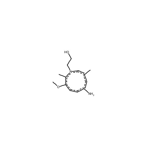 COc1ccc(N)cc(C)cn(CCO)c1C